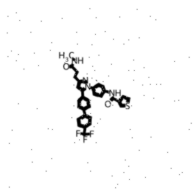 CNC(=O)CCc1cc(-c2ccc(-c3ccc(C(F)(F)F)cc3)cc2)n(-c2ccc(NC(=O)c3ccsc3)cc2)n1